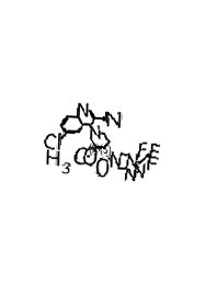 CO[C@@H]1CN(c2c(C#N)cnc3ccc(Cl)cc23)CC[C@@H]1C(=O)N1CCn2c(nnc2C(F)(F)F)C1